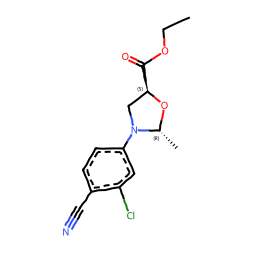 CCOC(=O)[C@@H]1CN(c2ccc(C#N)c(Cl)c2)[C@@H](C)O1